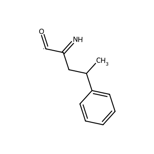 CC(CC(=N)[C]=O)c1ccccc1